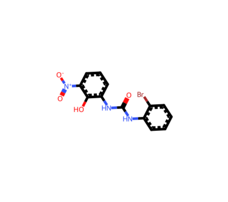 O=C(Nc1ccccc1Br)Nc1cccc([N+](=O)[O-])c1O